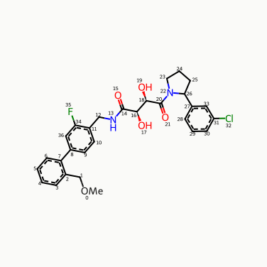 COCc1ccccc1-c1ccc(CNC(=O)[C@H](O)[C@@H](O)C(=O)N2CCCC2c2cccc(Cl)c2)c(F)c1